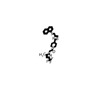 Cc1cc(C(F)(F)F)nn1CC(=O)N1CCC(c2nc(CSc3cccc4ccccc34)cs2)CC1